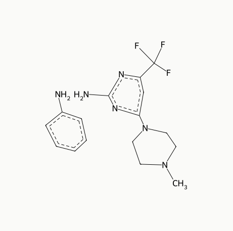 CN1CCN(c2cc(C(F)(F)F)nc(N)n2)CC1.Nc1ccccc1